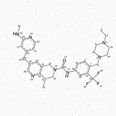 CCN1CCN(Cc2ccc(NC(=O)N3Cc4cc(Oc5ccnc(NC)c5)cnc4C(C)C3)cc2C(F)(F)F)CC1